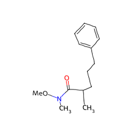 CON(C)C(=O)C(C)CCCc1ccccc1